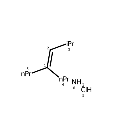 CCCC(=CC(C)C)CCC.Cl.N